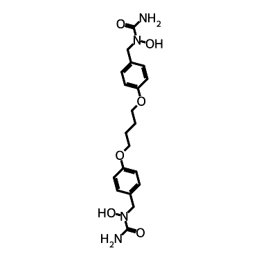 NC(=O)N(O)Cc1ccc(OCCCCOc2ccc(CN(O)C(N)=O)cc2)cc1